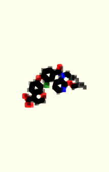 CCOc1ncccc1N(CC)C(=O)c1ccc(Oc2ccc3c(c2)OCCC3C(=O)O)c(Cl)c1